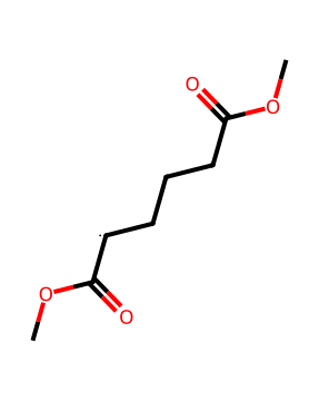 COC(=O)[CH]CCCC(=O)OC